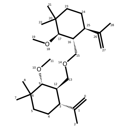 C=C(C)[C@@H]1CCC(C)(C)[C@H](OC)[C@H]1COC[C@@H]1[C@@H](OC)C(C)(C)CC[C@H]1C(=C)C